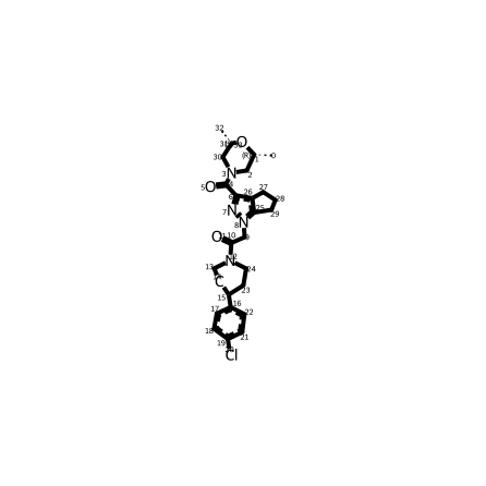 C[C@@H]1CN(C(=O)c2nn(CC(=O)N3CCC(c4ccc(Cl)cc4)CC3)c3c2CCC3)C[C@H](C)O1